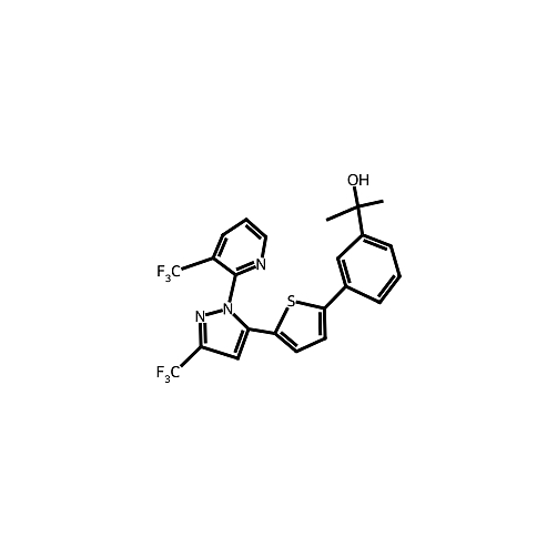 CC(C)(O)c1cccc(-c2ccc(-c3cc(C(F)(F)F)nn3-c3ncccc3C(F)(F)F)s2)c1